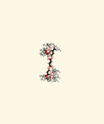 CC(C)C(CCOC(=O)/C=C/C(=O)OCCC(C(C)C)[Si](O[Si](C)(C)C)(O[Si](C)(C)C)O[Si](C)(C)C)[Si](O[Si](C)(C)C)(O[Si](C)(C)C)O[Si](C)(C)C